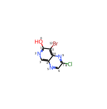 Oc1ncc2ncc(Cl)nc2c1Br